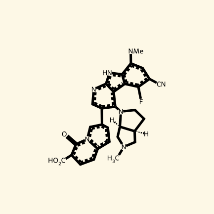 CNc1cc(C#N)c(F)c2c1[nH]c1ncc(-c3ccc4ccc(C(=O)O)c(=O)n4c3)c(N3CC[C@H]4CN(C)C[C@H]43)c12